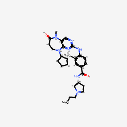 COCCN1CC[C@@H](NC(=O)c2ccc(Nc3ncc4c(n3)N(C3CCCC3)CCC(=O)N4C)c(OC)c2)C1